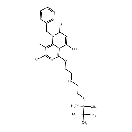 CC(C)(C)[Si](C)(C)OCCNCCOc1nc(Cl)c(F)c2c1c(O)cc(=O)n2Cc1ccccc1